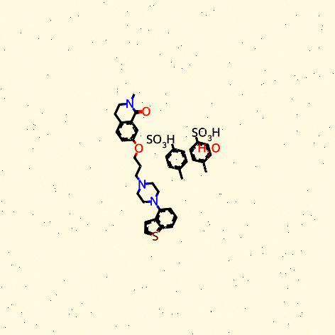 CN1CCc2ccc(OCCCN3CCN(c4cccc5sccc45)CC3)cc2C1=O.Cc1ccc(S(=O)(=O)O)cc1.Cc1ccc(S(=O)(=O)O)cc1.O